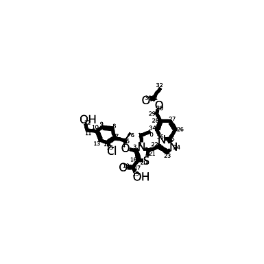 CCN1C(O[C@H](C)c2ccc(CO)cc2Cl)=C(C(=O)O)SC1c1cnc2ccc(COC(C)=O)cn12